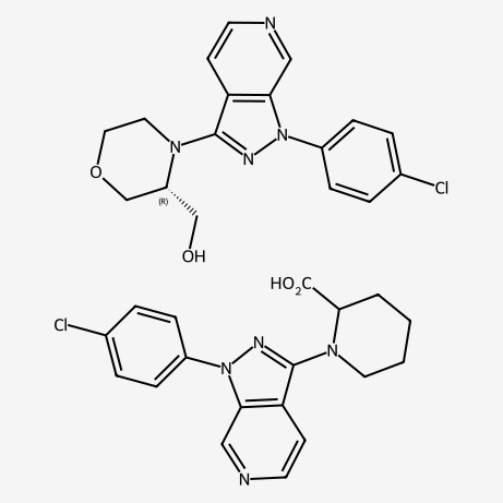 O=C(O)C1CCCCN1c1nn(-c2ccc(Cl)cc2)c2cnccc12.OC[C@@H]1COCCN1c1nn(-c2ccc(Cl)cc2)c2cnccc12